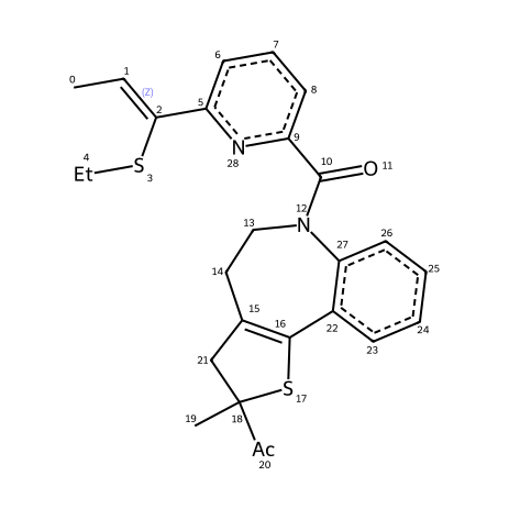 C/C=C(\SCC)c1cccc(C(=O)N2CCC3=C(SC(C)(C(C)=O)C3)c3ccccc32)n1